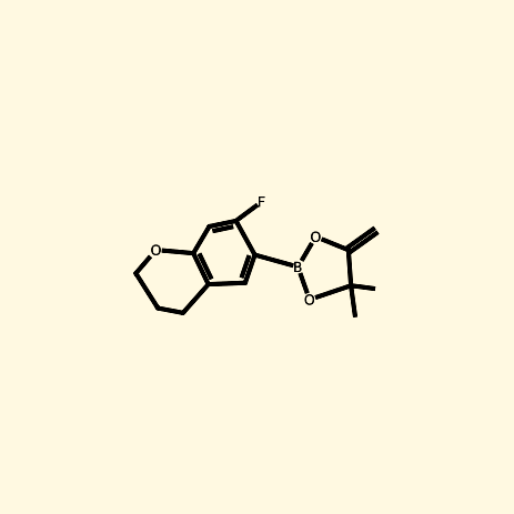 C=C1OB(c2cc3c(cc2F)OCCC3)OC1(C)C